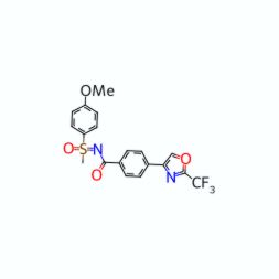 COc1ccc(S(C)(=O)=NC(=O)c2ccc(-c3coc(C(F)(F)F)n3)cc2)cc1